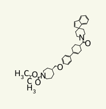 CC(C)OC(=O)N1CCC[C@H](COc2ccc(C3=CCC(C(=O)N4CCC5(C=Cc6ccccc65)CC4)CC3)cc2)CC1